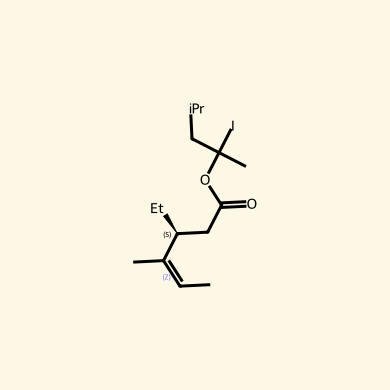 C/C=C(/C)[C@@H](CC)CC(=O)OC(C)(I)CC(C)C